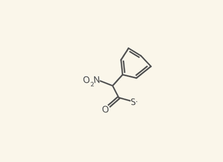 O=C([S])C(c1ccccc1)[N+](=O)[O-]